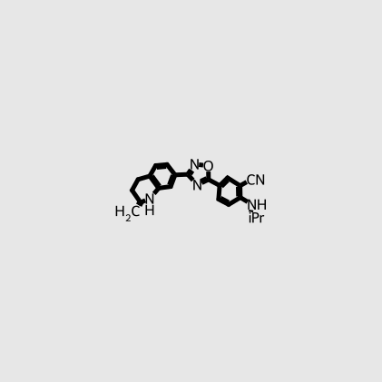 C=C1CCc2ccc(-c3noc(-c4ccc(NC(C)C)c(C#N)c4)n3)cc2N1